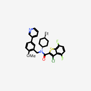 CC[C@H]1CC[C@H](N(Cc2cc(-c3cccnc3)ccc2OC)C(=O)c2sc3c(F)ccc(F)c3c2Cl)CC1